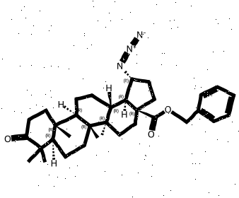 CC1(C)C(=O)CC[C@]2(C)[C@H]3CC[C@@H]4[C@H]5[C@H](N=[N+]=[N-])CC[C@]5(C(=O)OCc5ccccc5)CC[C@@]4(C)[C@]3(C)CC[C@@H]12